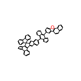 c1ccc2c(c1)-c1ccccc1C21c2cc3cc(-c4c5ccccc5c(-c5ccc6oc7c8ccccc8ccc7c6c5)c5ccccc45)ccc3cc2-c2c1c1ccccc1c1ccccc21